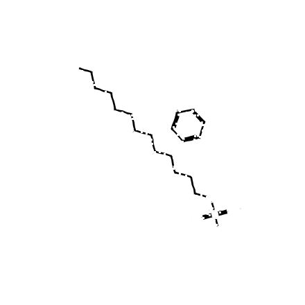 CCCCCCCCCCCCCOS(=O)(=O)O.c1ccccc1